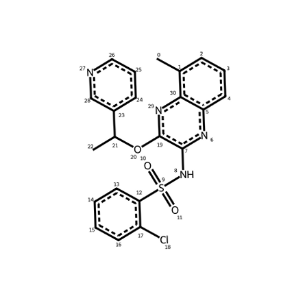 Cc1cccc2nc(NS(=O)(=O)c3ccccc3Cl)c(OC(C)c3cccnc3)nc12